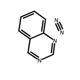 N#N.c1ccc2ncncc2c1